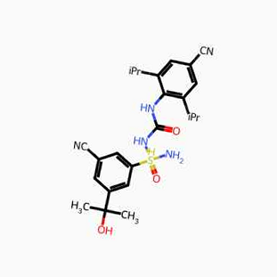 CC(C)c1cc(C#N)cc(C(C)C)c1NC(=O)N[SH](N)(=O)c1cc(C#N)cc(C(C)(C)O)c1